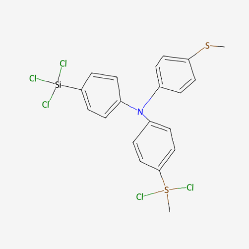 CSc1ccc(N(c2ccc([Si](Cl)(Cl)Cl)cc2)c2ccc(S(C)(Cl)Cl)cc2)cc1